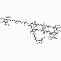 CC(=O)NC1C(OCCCCC(=O)NCCCCC(=O)NCCN(CCNC(=O)CCCCNC(=O)CCCCOC2OC(COC(C)=O)C(OC(C)=O)C(OC(C)=O)C2NC(C)=O)C(=O)CC[C@H](NC(=O)CCCCNC(=O)CCCCOC2OC(COC(C)=O)C(OC(C)=O)C(OC(C)=O)C2NC(C)=O)C(=O)NCCCCCC(=O)ON2C(=O)CCC2=O)OC(COC(C)=O)C(OC(C)=O)C1OC(C)=O